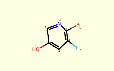 Oc1cnc(Br)c(F)c1